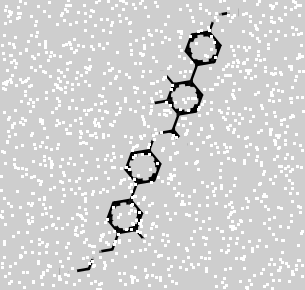 CCOCc1ccc(-c2ccc(OC(=O)c3ccc(-c4ccc(OC)cc4)c(F)c3F)cc2)cc1F